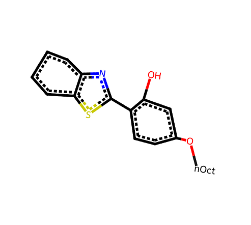 CCCCCCCCOc1ccc(-c2nc3ccccc3s2)c(O)c1